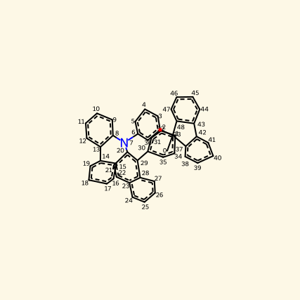 CC1(c2cccc(N(c3ccccc3-c3ccccc3)c3ccc4ccccc4c3-c3ccccc3)c2)c2ccccc2-c2ccccc21